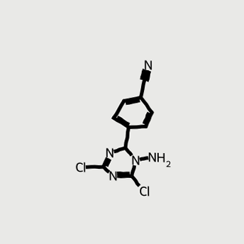 N#Cc1ccc(C2N=C(Cl)N=C(Cl)N2N)cc1